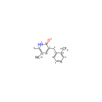 Cc1[nH]c(=O)c(Cc2ccccc2C(F)(F)F)cc1C#N